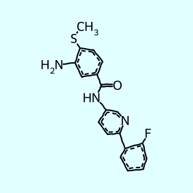 CSc1ccc(C(=O)Nc2ccc(-c3ccccc3F)nc2)cc1N